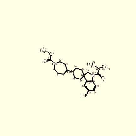 COC(=O)N1CCCC(N2CCC3(CC2)CN(C(=O)N(C)C)c2ccc(F)cc23)CC1